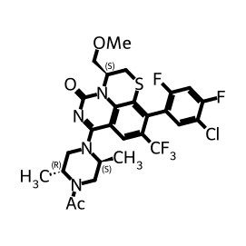 COC[C@H]1CSc2c(-c3cc(Cl)c(F)cc3F)c(C(F)(F)F)cc3c(N4C[C@@H](C)N(C(C)=O)C[C@@H]4C)nc(=O)n1c23